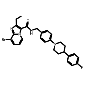 CCc1nc2c(Br)cccn2c1C(=O)NCc1ccc(N2CCC(c3ccc(F)cc3)CC2)cc1